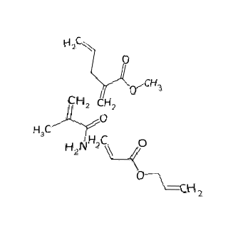 C=C(C)C(N)=O.C=CCC(=C)C(=O)OC.C=CCOC(=O)C=C